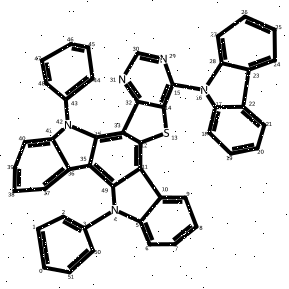 c1ccc(-n2c3ccccc3c3c4sc5c(-n6c7ccccc7c7ccccc76)ncnc5c4c4c(c5ccccc5n4-c4ccccc4)c32)cc1